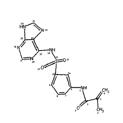 C=C(C)C(=O)Nc1cccc(S(=O)(=O)Nc2ncnc3[nH]cnc23)c1